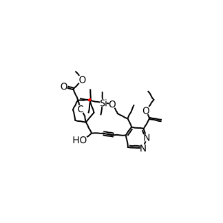 C=C(OCC)c1nncc(C#CC(O)C23CCC(C(=O)OC)(CC2)CC3)c1C(C)CO[Si](C)(C)C(C)(C)C